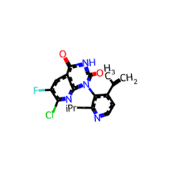 C=C(C)c1ccnc(C(C)C)c1-n1c(=O)[nH]c(=O)c2cc(F)c(Cl)nc21